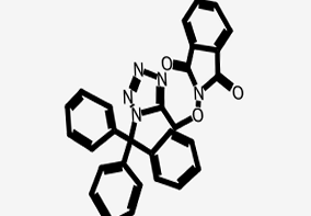 O=C1c2ccccc2C(=O)N1OCc1nnnn1C(c1ccccc1)(c1ccccc1)c1ccccc1